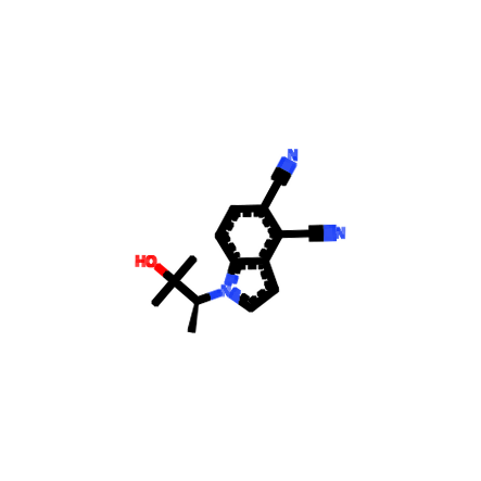 C[C@H](n1ccc2c(C#N)c(C#N)ccc21)C(C)(C)O